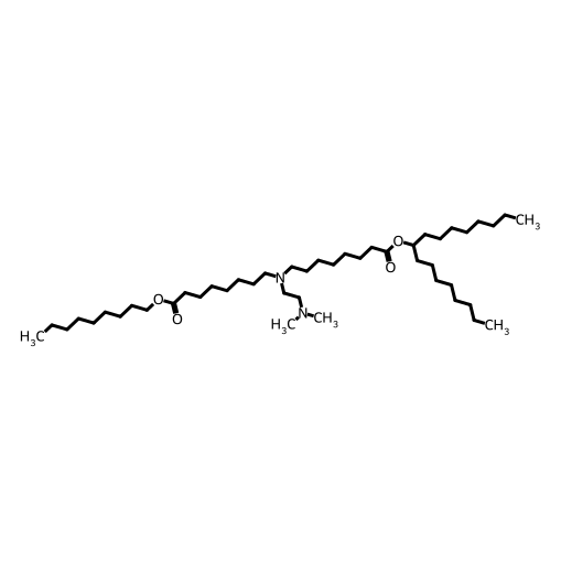 CCCCCCCCCOC(=O)CCCCCCCN(CCCCCCCC(=O)OC(CCCCCCCC)CCCCCCCC)CCN(C)C